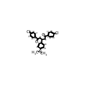 CN(C)c1ccc(C(CC(=O)c2ccc(Cl)cc2)CC(=O)c2ccc(Cl)cc2)cc1